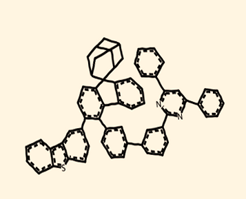 c1ccc(-c2cc(-c3ccccc3)nc(-c3cccc(-c4cccc(-c5c(-c6ccc7sc8ccccc8c7c6)ccc6c5-c5ccccc5C65C6CC7CC(C6)CC5C7)c4)c3)n2)cc1